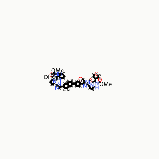 COC(=O)N[C@H](C(=O)N1CCC[C@H]1c1nc2c([nH]1)COc1cc(-c3ccc4cc(-c5cnc([C@@H]6CCCN6C[C@@](C=O)(NC(=O)OC)c6ccccc6)[nH]5)ccc4c3)ccc1-2)C1CCOCC1